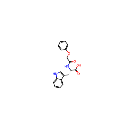 O=C(COc1ccccc1)N[C@@H](Cc1c[nH]c2ccccc12)C(=O)O